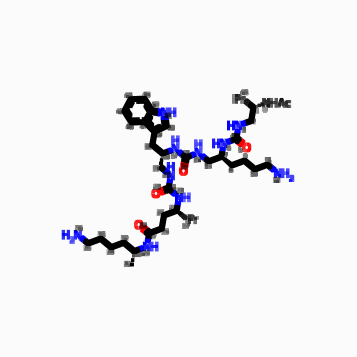 CC(=O)N[C@H](CNC(=O)N[C@@H](CCCCN)CNC(=O)N[C@H](CNC(=O)N[C@H](CCC(=O)N[C@H](C)CCCCN)C(C)C)Cc1c[nH]c2ccccc12)C(C)C